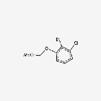 CCc1c(Cl)cccc1OCOC